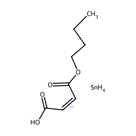 CCCCOC(=O)/C=C\C(=O)O.[SnH4]